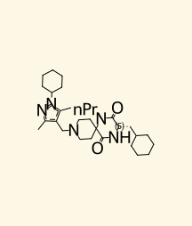 CCCN1C(=O)[C@H](CC2CCCCC2)NC(=O)C12CCN(Cc1c(C)nn(C3CCCCC3)c1C)CC2